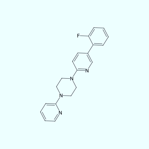 Fc1ccccc1-c1ccc(N2CCN(c3ccccn3)CC2)nc1